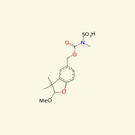 COC1Oc2ccc(COC(=O)N(C)S(=O)(=O)O)cc2C1(C)C